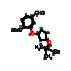 COc1ccc(C=O)cc1OC1CCC(O[Si](C)(C)C(C)(C)C)C1